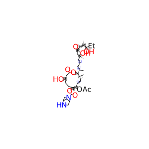 CC[C@H](O)[C@@H](C)[C@H]1O[C@@H]1C[C@@](C)(O)/C=C/C=C(\C)[C@H]1OC(=O)C[C@H](O)CC[C@@](C)(OC(=O)N2CC3CC2CN3)[C@@H](OC(C)=O)/C=C/[C@@H]1C